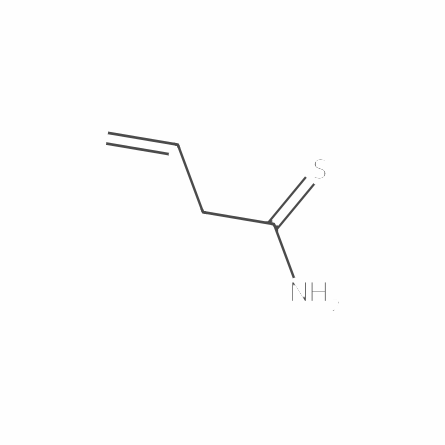 C=CCC(N)=S